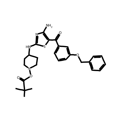 CC(C)(C)C(=O)ON1CCC(Nc2nc(N)c(C(=O)c3cccc(OCc4ccccc4)c3)s2)CC1